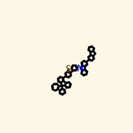 C1=CCC=C(C2(c3ccccc3)c3ccccc3-c3c(-c4ccc5c(c4)sc4ccc(-n6c7ccccc7c7cc(-c8ccc9c(c8)-c8ccccc8C9)ccc76)cc45)cccc32)C=C1